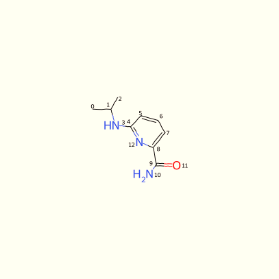 CC(C)Nc1cccc(C(N)=O)n1